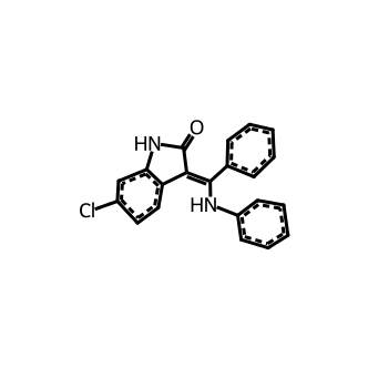 O=C1Nc2cc(Cl)ccc2C1=C(Nc1ccccc1)c1ccccc1